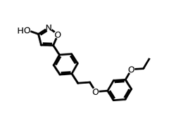 CCOc1cccc(OCCc2ccc(-c3cc(O)no3)cc2)c1